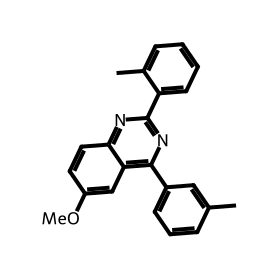 COc1ccc2nc(-c3ccccc3C)nc(-c3cccc(C)c3)c2c1